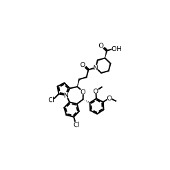 COc1cccc([C@H]2O[C@H](CCC(=O)N3CCC[C@H](C(=O)O)C3)c3ccc(Cl)n3-c3ccc(Cl)cc32)c1OC